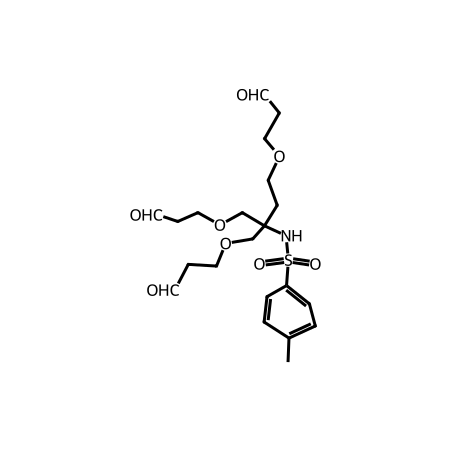 Cc1ccc(S(=O)(=O)NC(CCOCCC=O)(COCCC=O)COCCC=O)cc1